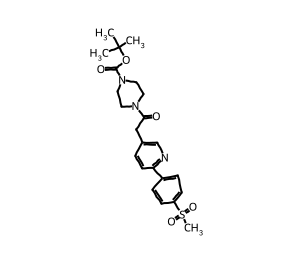 CC(C)(C)OC(=O)N1CCN(C(=O)Cc2ccc(-c3ccc(S(C)(=O)=O)cc3)nc2)CC1